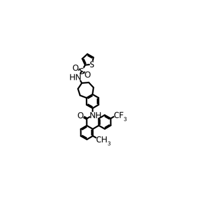 Cc1cccc(C(=O)Nc2ccc3c(c2)CCC(NS(=O)(=O)c2cccs2)CC3)c1-c1ccc(C(F)(F)F)cc1